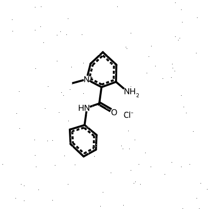 C[n+]1cccc(N)c1C(=O)Nc1ccccc1.[Cl-]